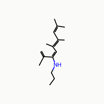 C=C(C)/C(=C\C(C)=C(/C)C=C(C)C)NCCC